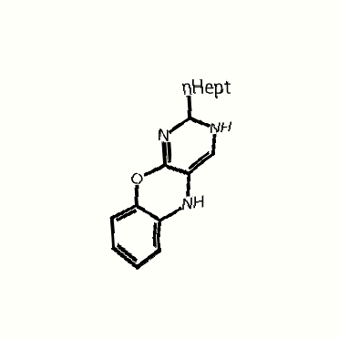 CCCCCCCC1N=C2Oc3ccccc3NC2=CN1